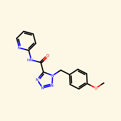 COc1ccc(Cn2nnnc2C(=O)Nc2ccccn2)cc1